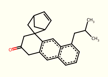 CC(C)Cc1cccc2cc3c(cc12)C1(CC(=O)C3)CC2C=CC1C2